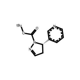 CC(C)(C)OC(=O)N1N=CC[C@H]1c1cccnc1